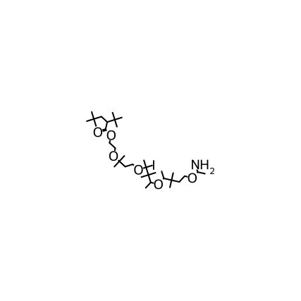 CC(N)OCCC(C)(C)C(C)OC(C)C(C)(C)C(C)(I)OCCC(C)(C)OCCOC(=O)C(CC(C)(C)C)C(C)(C)C